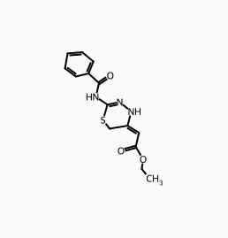 CCOC(=O)C=C1CSC(NC(=O)c2ccccc2)=NN1